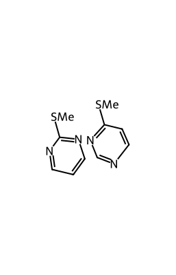 CSc1ccncn1.CSc1ncccn1